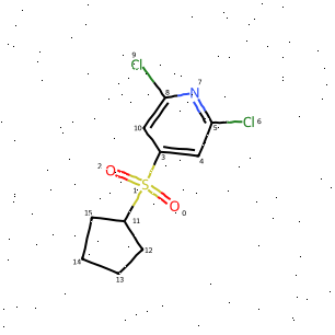 O=S(=O)(c1cc(Cl)nc(Cl)c1)C1CCCC1